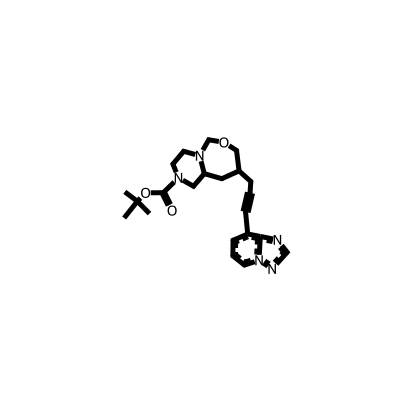 CC(C)(C)OC(=O)N1CCN2COCC(CC#Cc3cccn4ncnc34)CC2C1